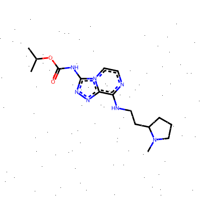 CC(C)OC(=O)Nc1nnc2c(NCCC3CCCN3C)nccn12